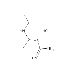 CCNC(C)SC(=N)N.Cl